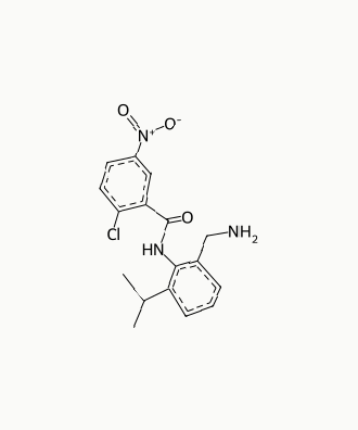 CC(C)c1cccc(CN)c1NC(=O)c1cc([N+](=O)[O-])ccc1Cl